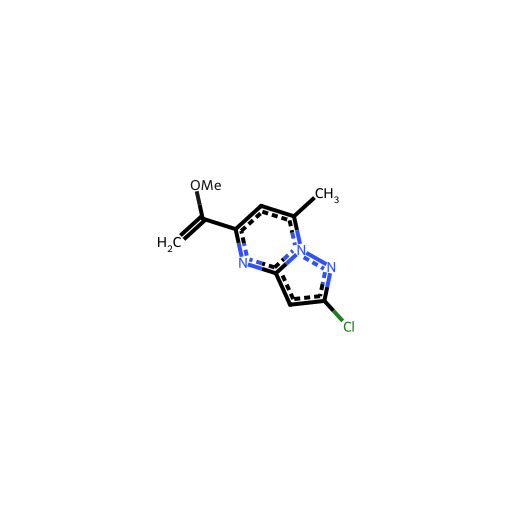 C=C(OC)c1cc(C)n2nc(Cl)cc2n1